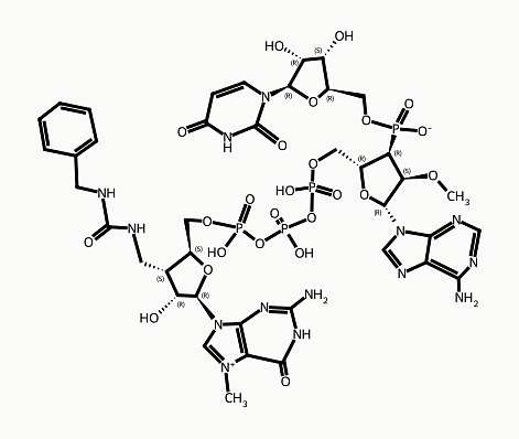 CO[C@@H]1[C@H](P(=O)([O-])OC[C@H]2O[C@@H](n3ccc(=O)[nH]c3=O)[C@H](O)[C@@H]2O)[C@@H](COP(=O)(O)OP(=O)(O)OP(=O)(O)OC[C@H]2O[C@@H](n3c[n+](C)c4c(=O)[nH]c(N)nc43)[C@H](O)[C@@H]2CNC(=O)NCc2ccccc2)O[C@H]1n1cnc2c(N)ncnc21